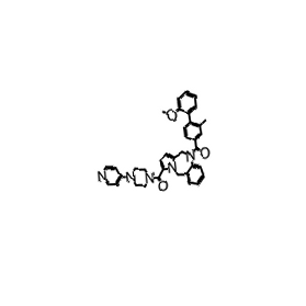 COc1ccccc1-c1ccc(C(=O)N2Cc3ccc(C(=O)N4CCN(c5ccncc5)CC4)n3Cc3ccccc32)cc1C